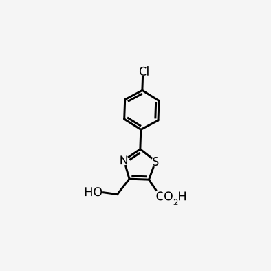 O=C(O)c1sc(-c2ccc(Cl)cc2)nc1CO